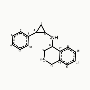 c1ccc(C2CC2NC2CSCc3ccccc32)cc1